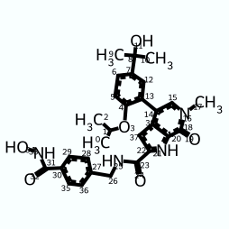 CC(C)Oc1ccc(C(C)(C)O)cc1-c1cn(C)c(=O)c2[nH]c(C(=O)NCc3ccc(C(=O)NO)cc3)cc12